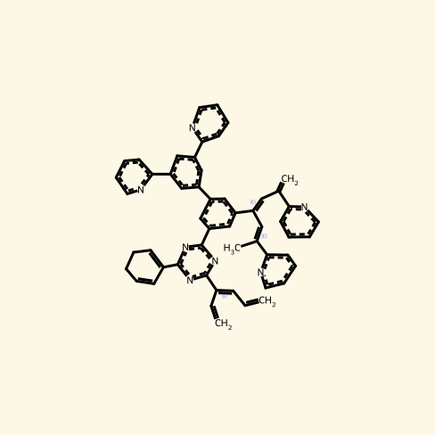 C=C/C=C(\C=C)c1nc(C2=CCCC=C2)nc(-c2cc(C(=C/C(=C)c3ccccn3)/C=C(\C)c3ccccn3)cc(-c3cc(-c4ccccn4)cc(-c4ccccn4)c3)c2)n1